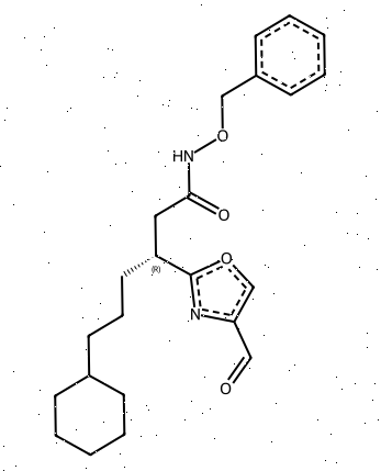 O=Cc1coc([C@H](CCCC2CCCCC2)CC(=O)NOCc2ccccc2)n1